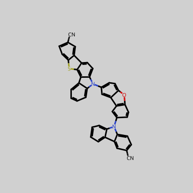 N#Cc1ccc2sc3c(ccc4c3c3ccccc3n4-c3ccc4oc5ccc(-n6c7ccccc7c7cc(C#N)ccc76)cc5c4c3)c2c1